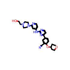 N#Cc1cc(-c2ccnc(Nc3ccnc(N4CCN(CCO)CC4)c3)n2)ccc1OC1CCOCC1